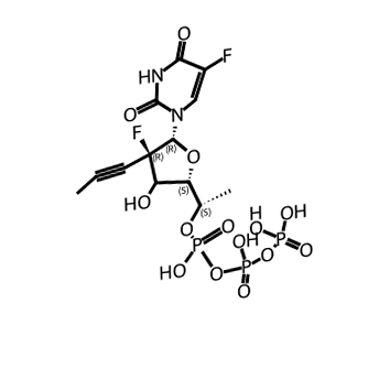 CC#C[C@@]1(F)C(O)[C@@H]([C@H](C)OP(=O)(O)OP(=O)(O)OP(=O)(O)O)O[C@H]1n1cc(F)c(=O)[nH]c1=O